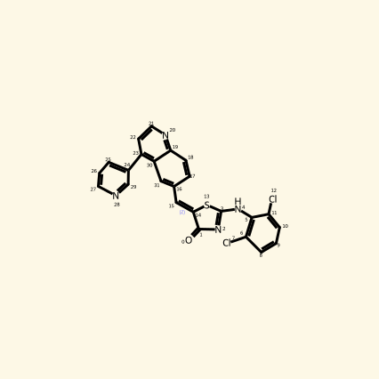 O=C1N=C(Nc2c(Cl)cccc2Cl)S/C1=C\c1ccc2nccc(-c3cccnc3)c2c1